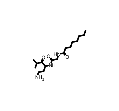 CCCCCCCC(=O)NCC(=O)NC(CCN)C(=O)C(C)C